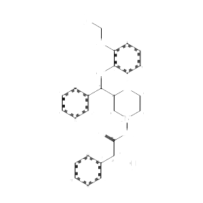 CCOc1ccccc1OC(c1ccccc1)C1CN(OC(=O)[C@H](O)c2ccccc2)CCO1